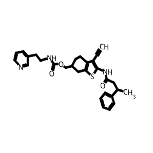 C#Cc1c(NC(=O)CC(C)c2ccccc2)sc2c1CCC(COC(=O)NCCc1cccnc1)C2